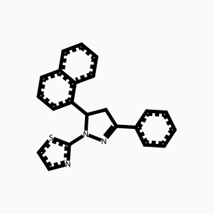 c1ccc(C2=NN(c3nccs3)C(c3cccc4ccccc34)C2)cc1